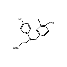 COc1ccc(CN(CCC=O)c2ccc(C#N)cc2)cc1F